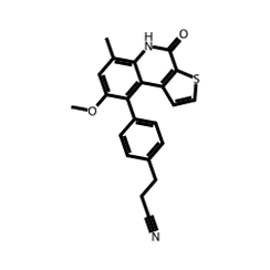 COc1cc(C)c2[nH]c(=O)c3sccc3c2c1-c1ccc(CCC#N)cc1